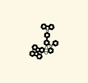 C1=CCC2C(=C1)C1(c3ccccc3-c3cc4c(cc31)Oc1cccc(N(c3ccccc3)c3cccc(-c5ccc(-n6c7ccccc7c7ccccc76)cc5)c3)c1O4)c1ccccc12